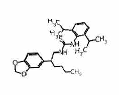 CCCCC(CNC(=S)Nc1c(C(C)C)cccc1C(C)C)c1ccc2c(c1)OCO2